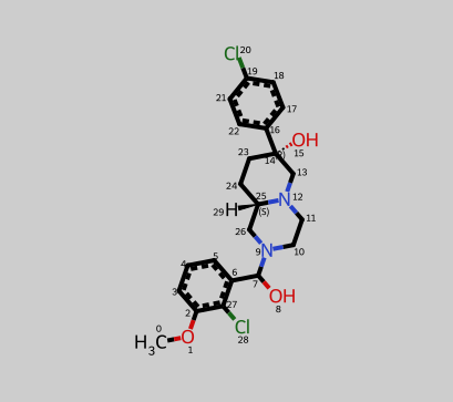 COc1cccc(C(O)N2CCN3C[C@](O)(c4ccc(Cl)cc4)CC[C@H]3C2)c1Cl